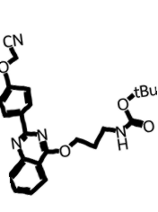 CC(C)(C)OC(=O)NCCCOc1nc(-c2ccc(OCC#N)cc2)nc2ccccc12